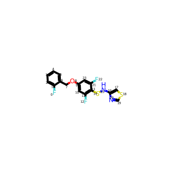 Fc1ccccc1COc1cc(F)c(SNc2cscn2)c(F)c1